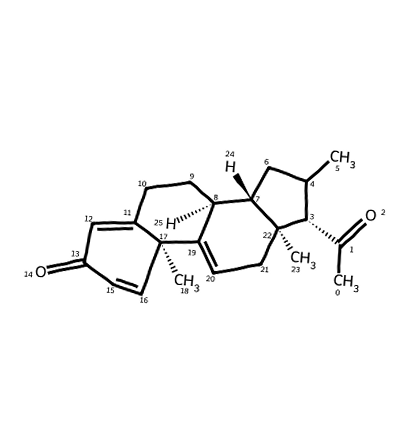 CC(=O)[C@H]1C(C)C[C@H]2[C@@H]3CCC4=CC(=O)C=C[C@]4(C)C3=CC[C@]12C